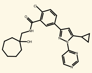 O=C(NCC1(O)CCCCCC1)c1cc(-c2cc(C3CC3)n(-c3ccncn3)n2)ccc1Cl